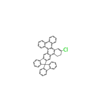 ClC1=Cc2c(c3cc4c(cc3c3c5ccccc5c5ccccc5c23)-c2ccccc2C42c3ccccc3-c3ccccc32)CC1